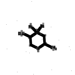 CC[N+]1(CC)CC(C)OCC1C